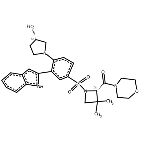 CC1(C)CN(S(=O)(=O)c2ccc(N3CC[C@H](O)C3)c(-c3cc4ccccc4[nH]3)c2)[C@@H]1C(=O)N1CCOCC1